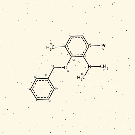 Cc1ccc(C(C)C)c(N(C)C)c1OCc1ccccc1